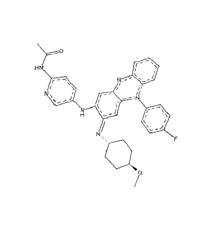 CO[C@H]1CC[C@H](/N=c2\cc3n(-c4ccc(F)cc4)c4ccccc4nc-3cc2Nc2ccc(NC(C)=O)nc2)CC1